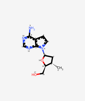 C[C@H]1C[C@H](n2ccc3c(N)ncnc32)O[C@@H]1CO